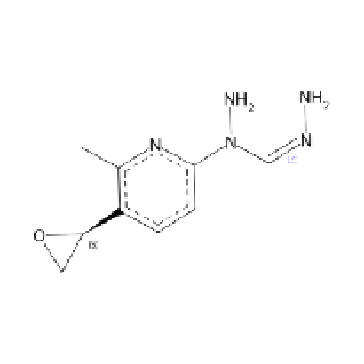 Cc1nc(N(N)/C=N\N)ccc1[C@H]1CO1